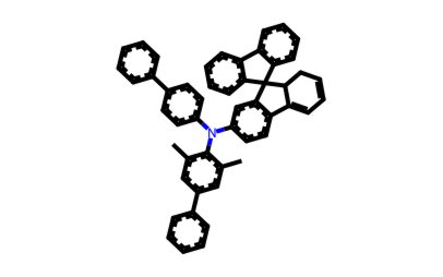 Cc1cc(-c2ccccc2)cc(C)c1N(c1ccc(-c2ccccc2)cc1)c1ccc2c(c1)C1(c3ccccc3-c3ccccc31)C1CC=CC=C21